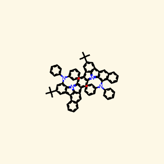 CC(C)(C)c1cc(N(c2ccccc2)c2ccccc2)c2c(c1)c1c3ccccc3cc3c4cc5c(cc4n2c31)c1cc(C(C)(C)C)cc2c3cc4ccccc4c(N(c4ccccc4)c4ccccc4)c3n5c12